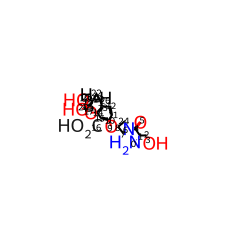 N[C@@H](CO)C(=O)N1CC(Oc2ccc3c(c2C(=O)O)O[B-](O)(O)[C@H]2C[C@@H]32)C1